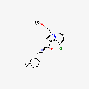 COCCc1cc(C(=O)/C=C/CC2CCCC3(CC3)C2)c2c(Cl)cccn12